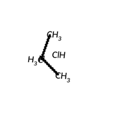 CCCCCCCCCCCCCCCCCCCN(C)CCCCCCCCCCCCCCCCCC.Cl